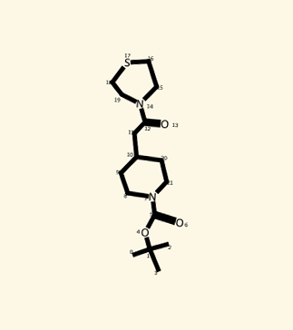 CC(C)(C)OC(=O)N1CCC(CC(=O)N2CCSCC2)CC1